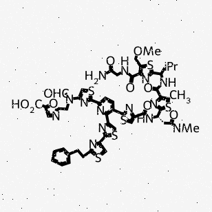 CNC(=O)C[C@H](NC(=O)c1csc(-c2ccc(-c3nc(N(C=O)Cc4ncc(C(=O)O)o4)cs3)nc2-c2csc(-c3csc(CCc4ccccc4)n3)n2)n1)c1nc(C(=O)NC(c2nc(C(=O)NCC(N)=O)c(COC)s2)C(C)C)c(C)s1